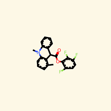 Cc1cccc2c1C(C(=O)Oc1c(F)ccc(F)c1F)c1ccccc1N2C